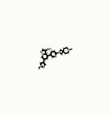 CN1CCC2(CC1)CN(c1ccc(-c3cc(-c4cnn(C)c4)cn4ncc(N)c34)cn1)C2